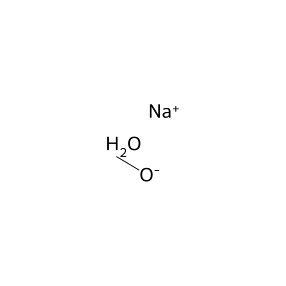 C[O-].O.[Na+]